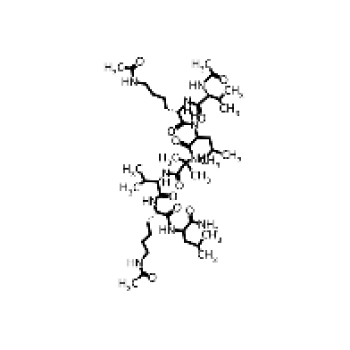 CC(=O)NCCCC[C@H](NC(=O)[C@@H](NC(C)=O)C(C)C)C(=O)NC(CC(C)C)C(=O)NC(C)(C)C(=O)N[C@H](C(=O)N[C@@H](CCCCNC(C)=O)C(=O)NC(CC(C)C)C(N)=O)C(C)C